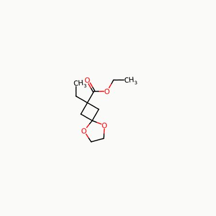 CCOC(=O)C1(CC)CC2(C1)OCCO2